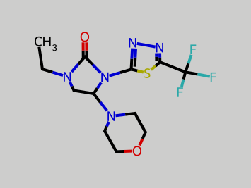 CCN1CC(N2CCOCC2)N(c2nnc(C(F)(F)F)s2)C1=O